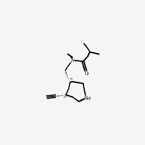 C#C[C@H]1CNC[C@H]1CN(C)C(=O)C(C)C